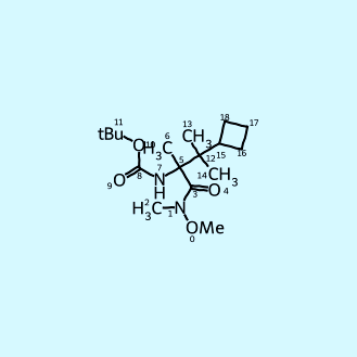 CON(C)C(=O)C(C)(NC(=O)OC(C)(C)C)C(C)(C)C1CCC1